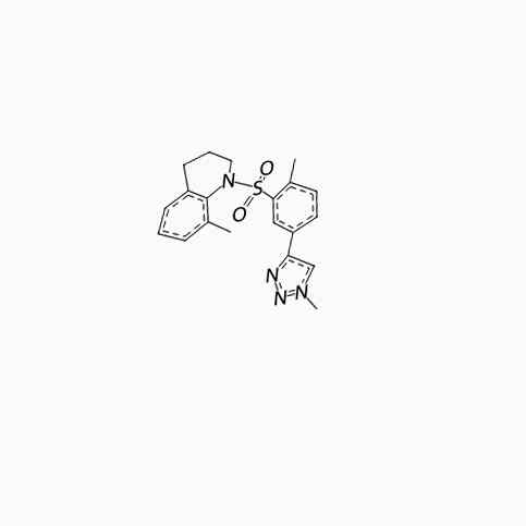 Cc1ccc(-c2cn(C)nn2)cc1S(=O)(=O)N1CCCc2cccc(C)c21